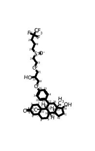 C[C@]12CCC(=O)CC1CC[C@@H]1[C@H]2C(c2ccc(OCC(O)COCC[S+]([O-])CCCC(F)(F)C(F)(F)F)cc2)C[C@]2(C)C(O)CC[C@@H]12